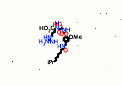 COc1cc(CNC(=O)CCCC/C=C/C(C)C)ccc1OC(=O)N[C@@H](CO)C(=O)N[C@@H](CCCNC(=N)N)C(=O)O